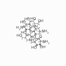 NC(CO)CNC[C@H]1O[C@H](OC2[C@@H](N)C[C@@H](NC(CO)CO)[C@H](O[C@H]3O[C@H](CO)[C@@H](O)[C@H](N)[C@H]3O)[C@H]2O)[C@H](N)[C@@H](O)[C@@H]1O